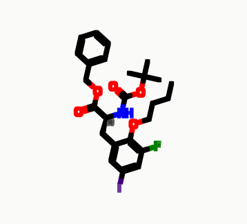 CCCCOc1c(F)cc(I)cc1C[C@H](NC(=O)OC(C)(C)C)C(=O)OCc1ccccc1